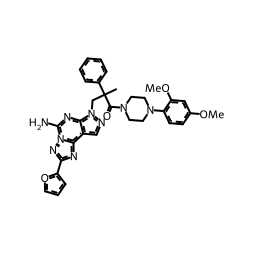 COc1ccc(N2CCN(C(=O)C(C)(Cn3ncc4c3nc(N)n3nc(-c5ccco5)nc43)c3ccccc3)CC2)c(OC)c1